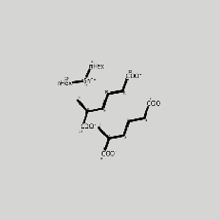 CC(CCCC(=O)[O-])C(=O)[O-].CC(CCCC(=O)[O-])C(=O)[O-].CCCCC[CH2][Sn+4][CH2]CCCCC